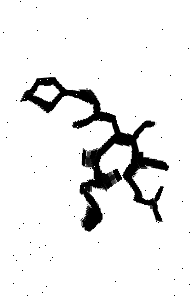 C=CONNC(/C=C(C)/N=C1/C=CSC1)=C(/C)N(C)CCN(C)C